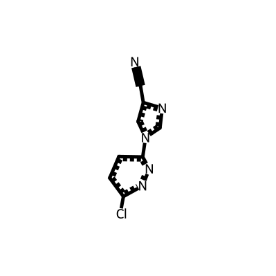 N#Cc1cn(-c2ccc(Cl)nn2)cn1